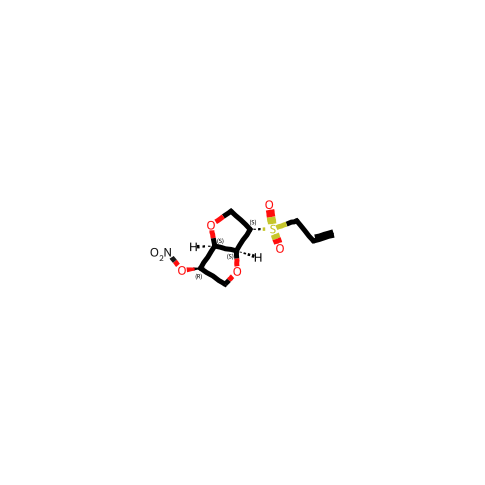 C=CCS(=O)(=O)[C@H]1CO[C@H]2[C@@H]1OC[C@H]2O[N+](=O)[O-]